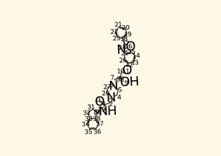 O=C(CN1CCN(C[C@@H](O)COc2ccc3oc(-c4ccccc4)nc3c2)CC1)N[C@@H]1CCc2ccccc21